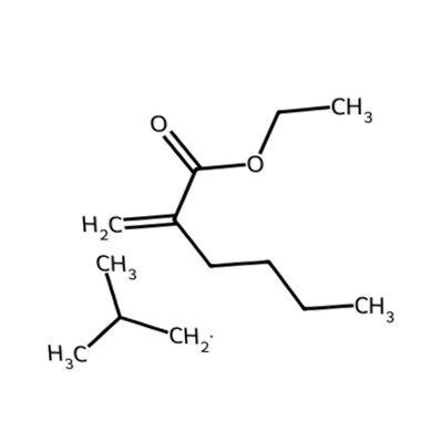 C=C(CCCC)C(=O)OCC.[CH2]C(C)C